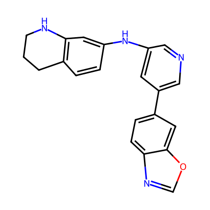 c1nc2ccc(-c3cncc(Nc4ccc5c(c4)NCCC5)c3)cc2o1